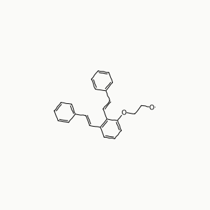 [O]CCOc1cccc(C=Cc2ccccc2)c1C=Cc1ccccc1